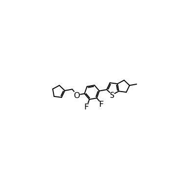 CC1Cc2cc(-c3ccc(OCC4=CCCC4)c(F)c3F)sc2C1